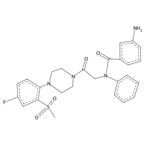 CS(=O)(=O)c1cc(F)ccc1N1CCN(C(=O)CN(C(=O)c2cccc(N)c2)c2ccccc2)CC1